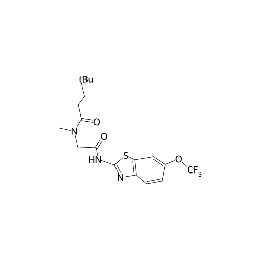 CN(CC(=O)Nc1nc2ccc(OC(F)(F)F)cc2s1)C(=O)CCC(C)(C)C